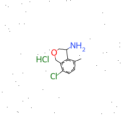 Cc1ccc(Cl)c2c1C(N)COC2.Cl